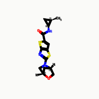 C[C@H]1C[C@@H]1NC(=O)c1cc2sc(N3C[C@@H]4C[C@H]3CO4)nc2s1